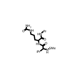 CSNC(C(=O)NC(CCCNC(N)=O)C(=O)NC(C)C)C(C)C